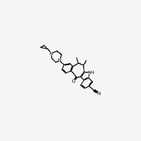 CC1c2cc(N3CCN(C4CC4)CC3)ccc2C(=O)c2c([nH]c3cc(C#N)ccc23)C1C